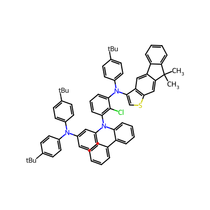 CC(C)(C)c1ccc(N(c2ccc(C(C)(C)C)cc2)c2cccc(N(c3ccccc3-c3ccccc3)c3cccc(N(c4ccc(C(C)(C)C)cc4)c4csc5cc6c(cc45)-c4ccccc4C6(C)C)c3Cl)c2)cc1